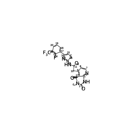 Cn1c(=O)[nH]c2nccc(CC(=O)Nc3nc(-c4cccc(C(F)(F)F)c4F)cs3)c2c1=O